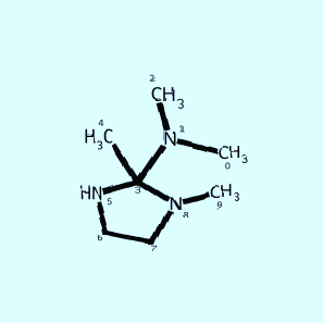 CN(C)C1(C)NCCN1C